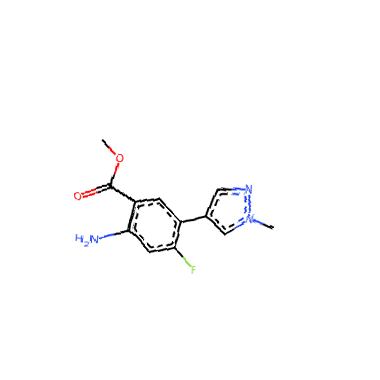 COC(=O)c1cc(-c2cnn(C)c2)c(F)cc1N